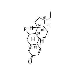 CC[C@H]1CC[C@H]2[C@@H]3C(F)CC4=CC(=O)C=C[C@]4(C)[C@H]3CC[C@]12C